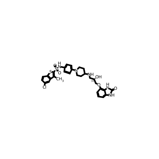 Cc1c(S(=O)(=O)Nc2ccc(N3CCC(NC[C@H](O)COc4cccc5[nH]c(=O)[nH]c45)CC3)cc2)sc2ccc(Cl)cc12